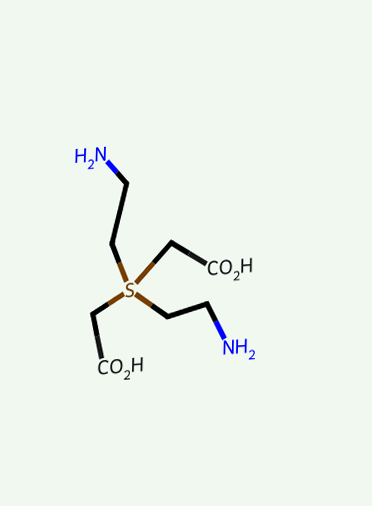 NCCS(CCN)(CC(=O)O)CC(=O)O